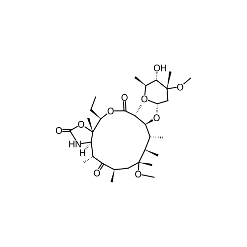 CC[C@H]1OC(=O)[C@H](C)[C@@H](O[C@H]2C[C@@](C)(OC)[C@@H](O)[C@H](C)O2)[C@H](C)[C@@H](C)[C@](C)(OC)C[C@@H](C)C(=O)[C@H](C)[C@H]2NC(=O)O[C@@]21C